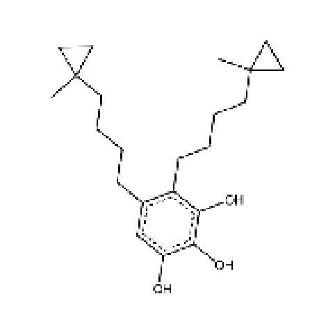 CC1(CCCCc2cc(O)c(O)c(O)c2CCCCC2(C)CC2)CC1